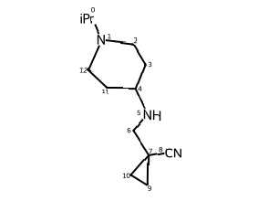 CC(C)N1CCC(NCC2(C#N)CC2)CC1